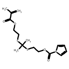 C=C(C)C(=O)OCCSC(C)(C)SCCOC(=O)n1cccc1